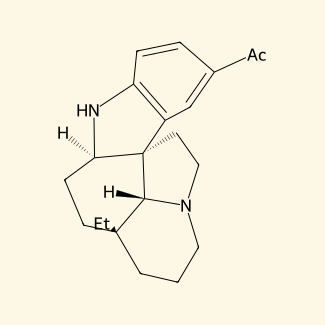 CC[C@@]12CCCN3CC[C@]4(c5cc(C(C)=O)ccc5N[C@@H]4CC1)[C@H]32